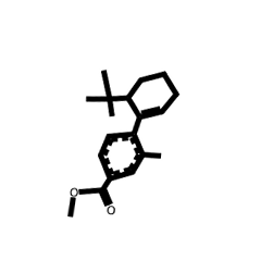 COC(=O)c1ccc(C2=CCCCC2C(C)(C)C)c(C)c1